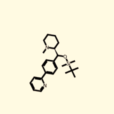 CN1CCCC[C@H]1C(O[Si](C)(C)C(C)(C)C)c1ccc(-c2ccccn2)cc1